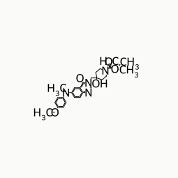 COc1ccc(N(C)c2ccc3ncn(CC4(O)CCN(C(=O)OC(C)(C)C)CC4)c(=O)c3c2)cc1